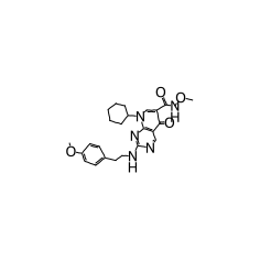 CONC(=O)c1cn(C2CCCCC2)c2nc(NCCc3ccc(OC)cc3)ncc2c1=O